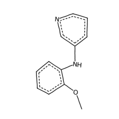 COc1ccccc1Nc1cccnc1